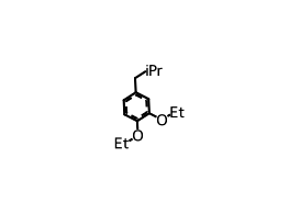 CCOc1ccc(CC(C)C)cc1OCC